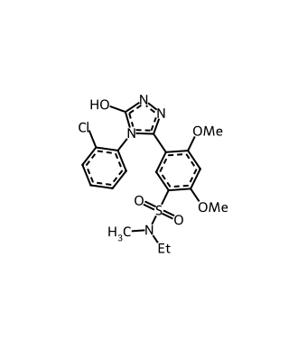 CCN(C)S(=O)(=O)c1cc(-c2nnc(O)n2-c2ccccc2Cl)c(OC)cc1OC